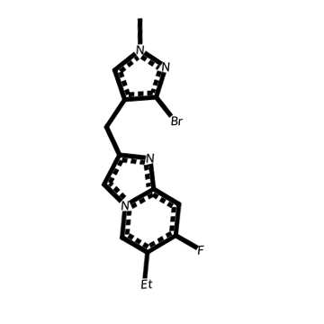 CCc1cn2cc(Cc3cn(C)nc3Br)nc2cc1F